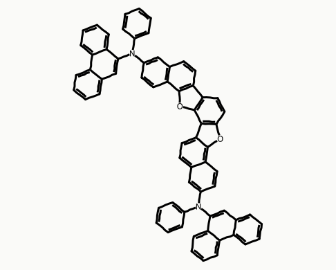 c1ccc(N(c2ccc3c(ccc4c5ccc6oc7c8ccc(N(c9ccccc9)c9cc%10ccccc%10c%10ccccc9%10)cc8ccc7c6c5oc34)c2)c2cc3ccccc3c3ccccc23)cc1